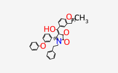 C[C@@H]1Cc2cc(C(O)=C3C(=O)C(=O)N(CCc4ccccc4)[C@@H]3c3cccc(Oc4ccccc4)c3)ccc2O1